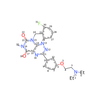 CCN(CC)CCOc1cccc(-c2nnc3c(n2)c(=O)n(C)c(=O)n3Cc2ccccc2F)c1